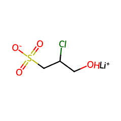 O=S(=O)([O-])CC(Cl)CO.[Li+]